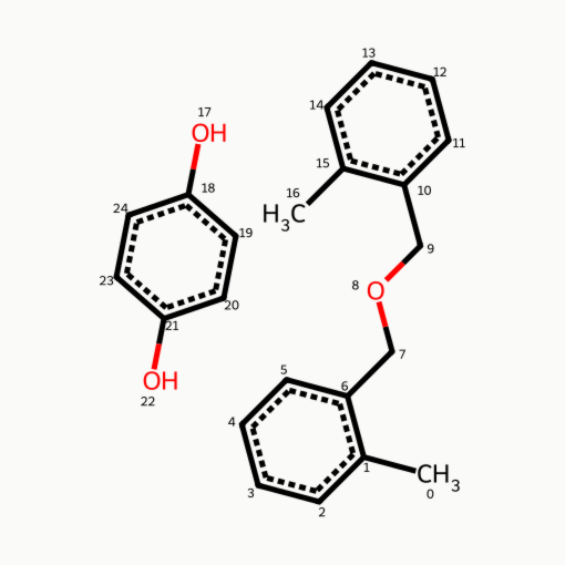 Cc1ccccc1COCc1ccccc1C.Oc1ccc(O)cc1